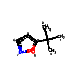 CC(C)(C)c1[c]cno1